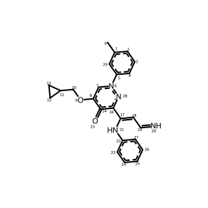 Cc1cccc(-n2cc(OCC3CC3)c(=O)c(/C(=C/C=N)Nc3ccccc3)n2)c1